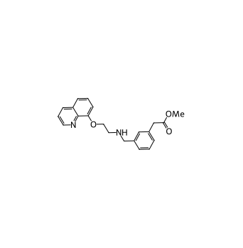 COC(=O)Cc1cccc(CNCCOc2cccc3cccnc23)c1